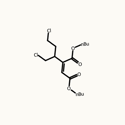 CCCCOC(=O)/C=C(\C(=O)OCCCC)C(CCl)CCCl